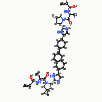 CC[C@H](NC(=O)OC)C(=O)N1C[C@@H](C)C[C@H]1c1ncc(-c2ccc(-c3ccc4cc(-c5cnc([C@@H]6CC7(CC7)CN6C(=O)[C@@H](NC(=O)OC)C(C)C)[nH]5)ccc4c3)cc2)[nH]1